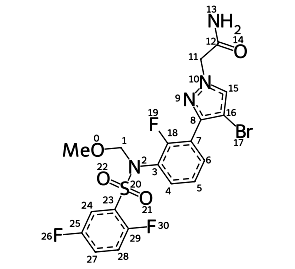 COCN(c1cccc(-c2nn(CC(N)=O)cc2Br)c1F)S(=O)(=O)c1cc(F)ccc1F